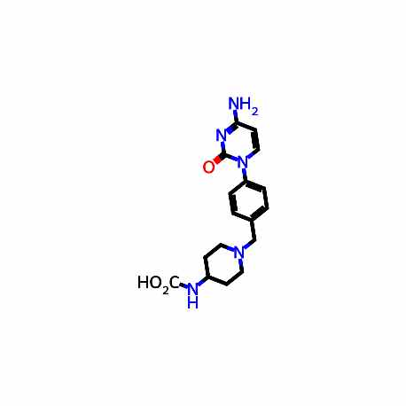 Nc1ccn(-c2ccc(CN3CCC(NC(=O)O)CC3)cc2)c(=O)n1